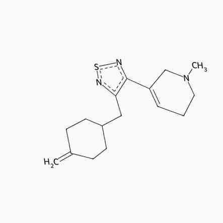 C=C1CCC(Cc2nsnc2C2=CCCN(C)C2)CC1